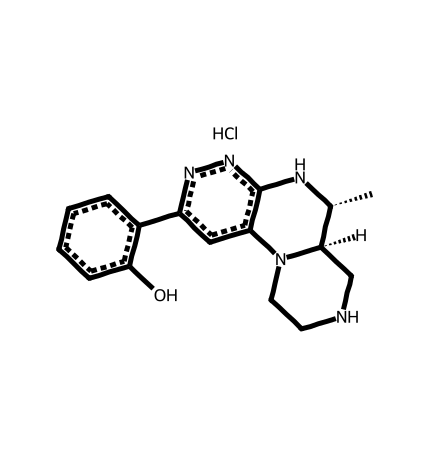 C[C@H]1Nc2nnc(-c3ccccc3O)cc2N2CCNC[C@H]12.Cl